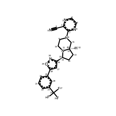 N#Cc1nccnc1N1CCN2[C@H](CC[C@H]2c2cc(-c3cccc(C(F)(F)F)c3)on2)C1